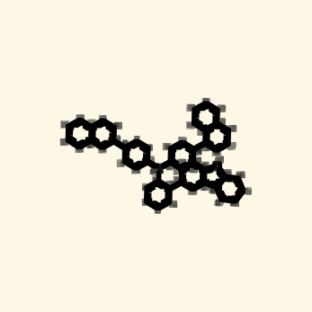 c1ccc(N(c2ccc(-c3ccc4ccccc4c3)cc2)c2ccc(-c3cccc4ccccc34)cc2)c(-c2ccc3oc4ccccc4c3c2)c1